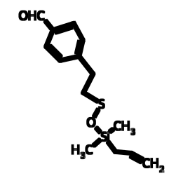 C=CC[Si](C)(C)OSCCc1ccc(C=O)cc1